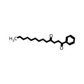 CCCCCCCCCC(=O)CCC(=O)c1ccccc1